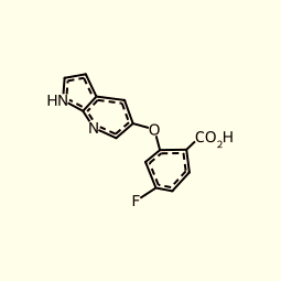 O=C(O)c1ccc(F)cc1Oc1cnc2[nH]ccc2c1